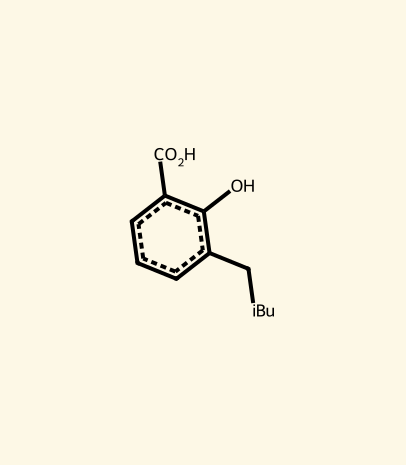 CCC(C)Cc1cccc(C(=O)O)c1O